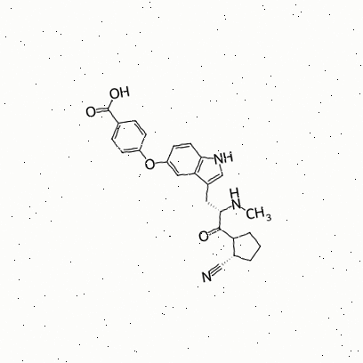 CN[C@@H](Cc1c[nH]c2ccc(Oc3ccc(C(=O)O)cc3)cc12)C(=O)C1CCC[C@@H]1C#N